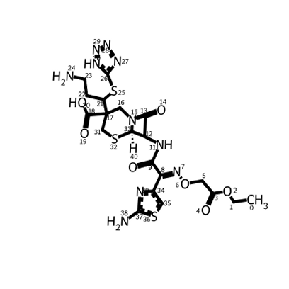 CCOC(=O)CON=C(C(=O)NC1C(=O)N2CC(C(=O)O)(C(CCN)Sc3nnn[nH]3)CS[C@H]12)c1csc(N)n1